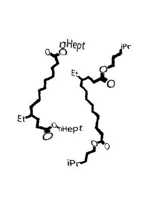 CCC(CCCCCCCCC(=O)OCCCC(C)C)CCC(=O)OCCCC(C)C.CCCCCCCOC(=O)CCCCCCCCC(CC)CCC(=O)OCCCCCCC